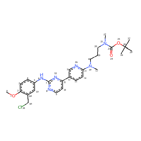 COc1ccc(Nc2nccc(-c3ccc(N(C)CCCN(C)C(=O)OC(C)(C)C)nc3)n2)cc1CCl